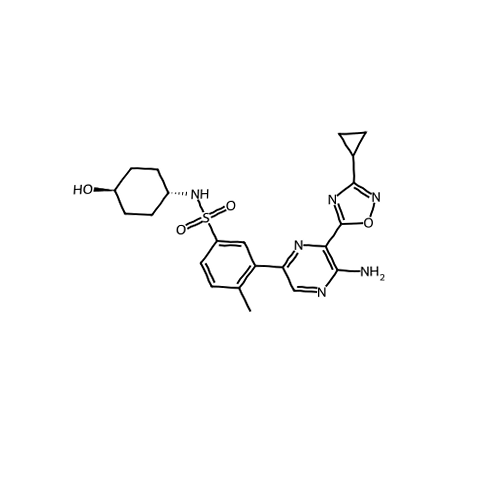 Cc1ccc(S(=O)(=O)N[C@H]2CC[C@H](O)CC2)cc1-c1cnc(N)c(-c2nc(C3CC3)no2)n1